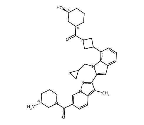 Cc1c(-c2cc3cccc(C4CN(C(=O)[C@@H]5CCC[C@H](O)C5)C4)c3n2CC2CC2)nn2cc(C(=O)N3CCC[C@@H](N)C3)ccc12